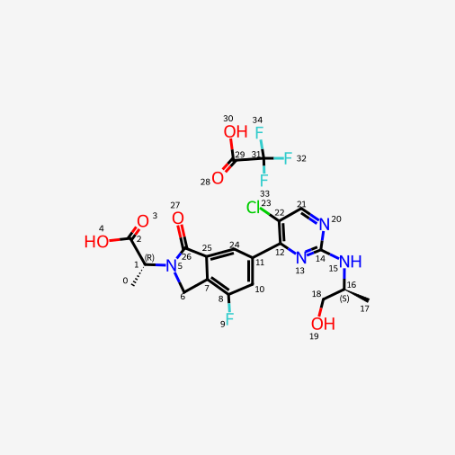 C[C@H](C(=O)O)N1Cc2c(F)cc(-c3nc(N[C@@H](C)CO)ncc3Cl)cc2C1=O.O=C(O)C(F)(F)F